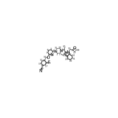 C[C@H]1CN(c2cccc(OCc3ccc(C#N)cc3F)n2)CCN1[C@@H](C)c1nc2ccccc2n1C[C@@H]1CCO1